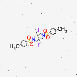 Cc1ccc(S(=O)(=O)N2CC3(CI)CN(S(=O)(=O)c4ccc(C)cc4)CC3(CI)C2)cc1